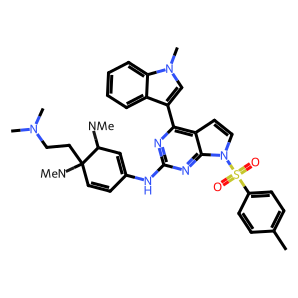 CNC1C=C(Nc2nc(-c3cn(C)c4ccccc34)c3ccn(S(=O)(=O)c4ccc(C)cc4)c3n2)C=CC1(CCN(C)C)NC